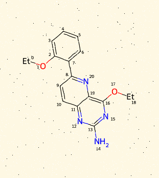 CCOc1ccccc1-c1ccc2nc(N)nc(OCC)c2n1